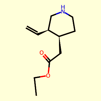 C=C[C@H]1CNCC[C@H]1CC(=O)OCC